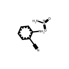 N#Cc1ccccc1N.N[SH](=O)=O